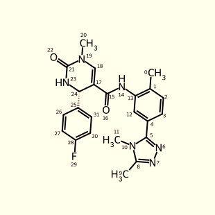 Cc1ccc(-c2nnc(C)n2C)cc1NC(=O)C1=CN(C)C(=O)N[C@H]1c1ccc(F)cc1